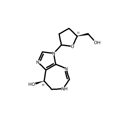 OC[C@@H]1CCC(n2cnc3c2N=CNC[C@H]3O)O1